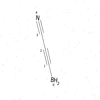 BC#CC#N